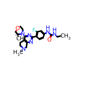 CCNC(=O)Nc1ccc(-c2nc3c(c(N4CCOC[C@@H]4C)n2)CCN(C)C3)c(F)c1